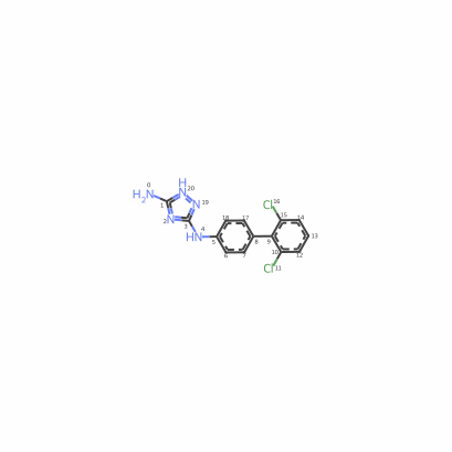 Nc1nc(Nc2ccc(-c3c(Cl)cccc3Cl)cc2)n[nH]1